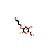 CC/C=C/CCO[C@@H]1[C@@H](O)[C@H](O)[C@@H](CO)O[C@H]1S